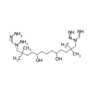 CC(C)(CCC(O)CCCC(O)CCC(C)(C)CN(C=N)N=N)CN(N)/C=N\N